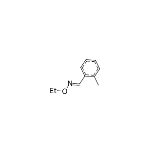 CCO/N=C/c1ccccc1C